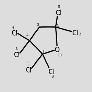 ClC1(Cl)CC(Cl)(Cl)C(Cl)(Cl)O1